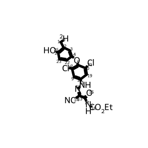 [2H]Cc1cc(Oc2c(Cl)cc(NN=C(C#N)C(=O)NC(=O)OCC)cc2Cl)ccc1O